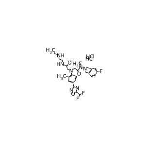 CCNCCNC(=O)CN(CC(=O)N(C)N1Cc2ccc(F)cc2C1)c1ccc(-c2noc(C(F)F)n2)cc1C.Cl.Cl